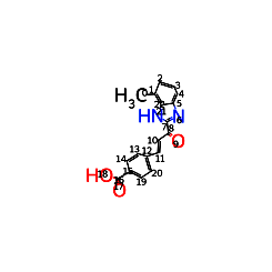 Cc1cccc2nc(C(=O)C=Cc3ccc(C(=O)O)cc3)[nH]c12